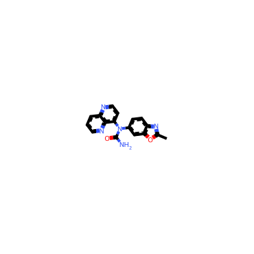 Cc1nc2ccc(N(C(N)=O)c3ccnc4cccnc34)cc2o1